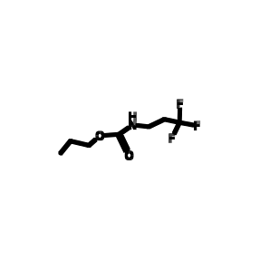 CCCOC(=O)NCCC(F)(F)F